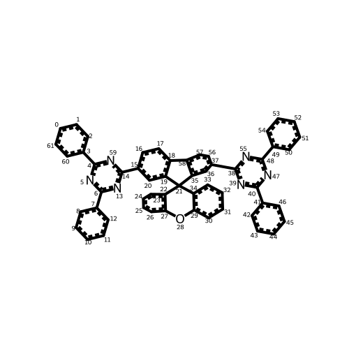 c1ccc(-c2nc(-c3ccccc3)nc(-c3ccc4c(c3)C3(c5ccccc5Oc5ccccc53)c3cc(-c5nc(-c6ccccc6)nc(-c6ccccc6)n5)ccc3-4)n2)cc1